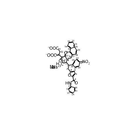 CC(C(Cc1ccc(C(=O)Nc2ccccc2)o1)c1ccc([N+](=O)[O-])cc1)N(Cc1ccc2ccccc2c1)C(=O)C(O)C(CC(=O)[O-])C(=O)[O-].[Na+].[Na+]